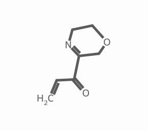 C=CC(=O)C1=NCCOC1